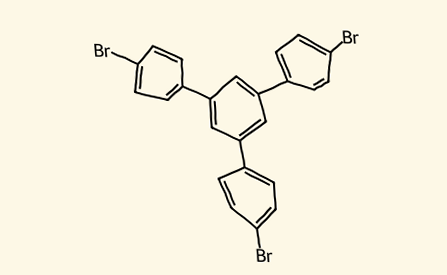 Brc1ccc(-c2cc(-c3ccc(Br)cc3)cc(-c3ccc(Br)cc3)c2)cc1